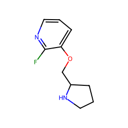 Fc1ncccc1OCC1CCCN1